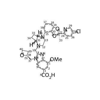 COc1cc(C(=O)O)cc2c1nc(CN1CCN(c3cccc4c3O[C@](C)(c3ccc(Cl)cn3)O4)[C@@H]3CC[C@H]31)n2C[C@@H]1CCO1